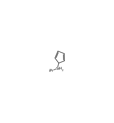 CC(C)[SiH2]C1C=CC=C1